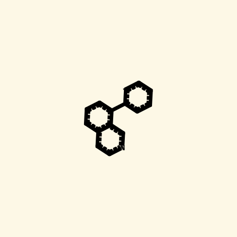 [c]1ccccc1-c1cccc2ccncc12